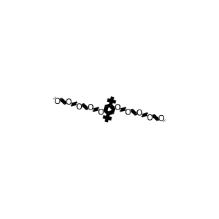 COCCOCCOCCOCCOc1cc(C(C)(C)C)c(OCCOCCOCCOCCOC)cc1C(C)(C)C